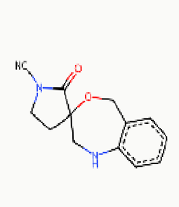 N#CN1CCC2(CNc3ccccc3CO2)C1=O